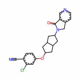 N#Cc1ccc(OC2CC3CC(N4Cc5ccncc5C4=O)CC3C2)cc1Cl